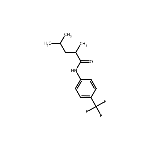 CC(C)CC(C)C(=O)Nc1ccc(C(F)(F)F)cc1